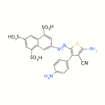 N#Cc1c(N)sc(/N=N/c2cc(S(=O)(=O)O)c3cc(S(=O)(=O)O)cc(S(=O)(=O)O)c3c2)c1-c1ccc(N)cc1